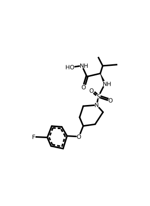 CC(C)[C@@H](NS(=O)(=O)N1CCC(Oc2ccc(F)cc2)CC1)C(=O)NO